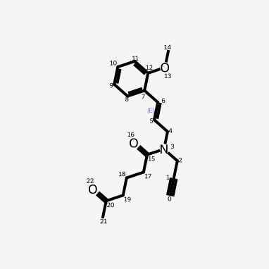 C#CCN(C/C=C/c1ccccc1OC)C(=O)CCCC(C)=O